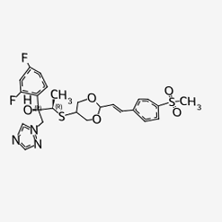 C[C@@H](SC1COC(C=Cc2ccc(S(C)(=O)=O)cc2)OC1)[C@](O)(Cn1cncn1)c1ccc(F)cc1F